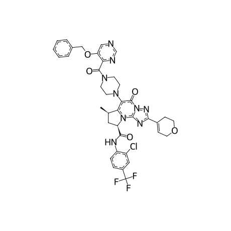 C[C@@H]1C[C@H](C(=O)Nc2ccc(C(F)(F)F)cc2Cl)n2c1c(N1CCN(C(=O)c3ncncc3OCc3ccccc3)CC1)c(=O)n1nc(C3=CCOCC3)nc21